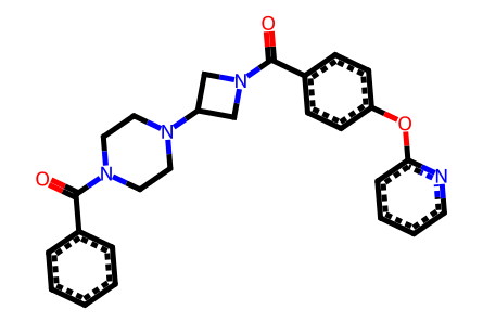 O=C(c1ccccc1)N1CCN(C2CN(C(=O)c3ccc(Oc4ccccn4)cc3)C2)CC1